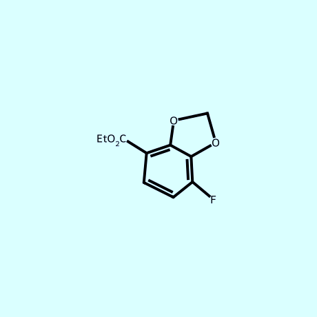 CCOC(=O)c1ccc(F)c2c1OCO2